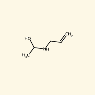 C=C[CH]NC(C)O